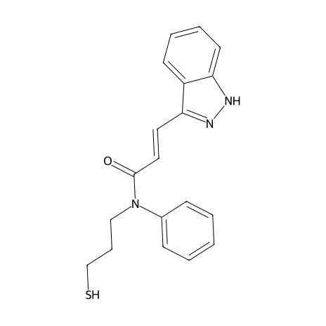 O=C(/C=C/c1n[nH]c2ccccc12)N(CCCS)c1ccccc1